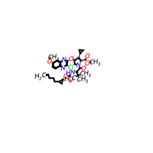 C=CCCCC1C[C@H]1OC(=O)N[C@H](C(=O)N1C[C@H](Oc2nc3cc(OC)ccc3nc2Cl)[C@@H](C2CC2)[C@H]1C(=O)OC)C(C)(C)C